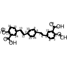 COc1ccc(/C=C/c2ccc(/C=C/c3ccc(OC)c(C(=O)O)c3)cc2)cc1C(=O)O